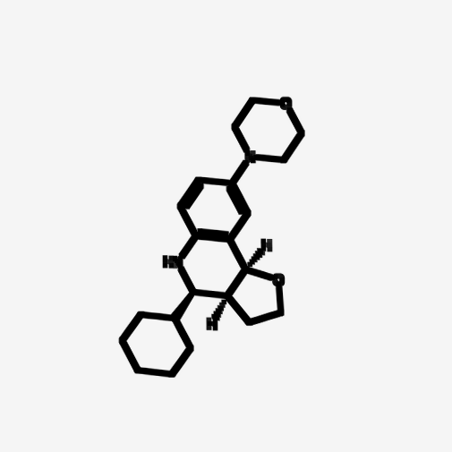 c1cc2c(cc1N1CCOCC1)[C@H]1OCC[C@H]1[C@@H](C1CCCCC1)N2